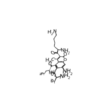 Cc1c(C(=O)C(N)CCCCN)c(=O)oc2cc(N)c(C(=O)C(N)C(C)C)c(C(=O)C(N)CC(C)C)c12